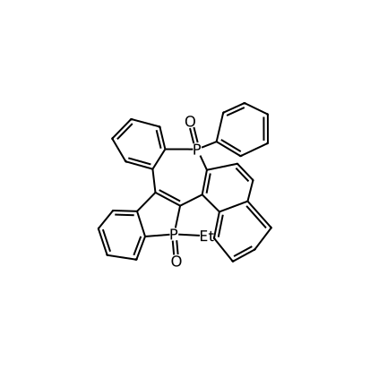 CCP1(=O)C2=C(c3ccccc31)c1ccccc1P(=O)(c1ccccc1)c1ccc3ccccc3c12